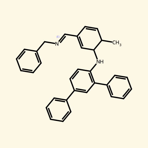 CC1C=CC(/C=N/Cc2ccccc2)=CC1Nc1ccc(-c2ccccc2)cc1-c1ccccc1